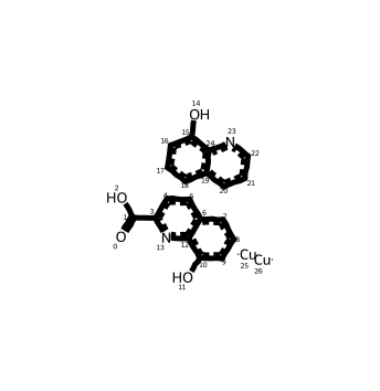 O=C(O)c1ccc2cccc(O)c2n1.Oc1cccc2cccnc12.[Cu].[Cu]